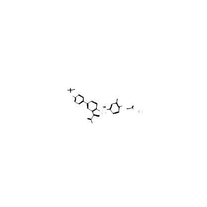 CC(=O)c1cn(S(=O)(=O)c2ccc(OCC(=O)O)c(C)c2)c2ccc(-c3ccc(OC(F)(F)F)cc3)cc12